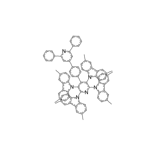 Cc1ccc2c(c1)c1cc(C)ccc1n2-c1nc(-n2c3ccc(C)cc3c3cc(C)ccc32)c(-n2c3ccc(C)cc3c3cc(C)ccc32)c(-c2ccc(-c3cc(-c4ccccc4)nc(-c4ccccc4)c3)cc2)c1-n1c2ccc(C)cc2c2cc(C)ccc21